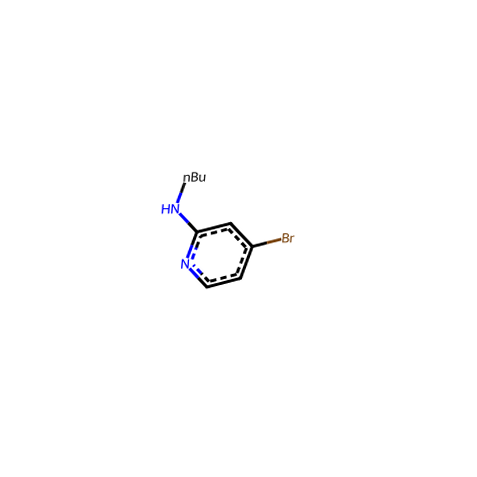 CCCCNc1cc(Br)ccn1